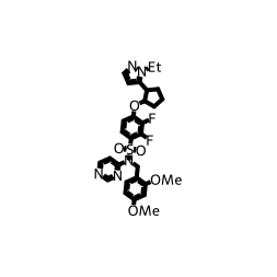 CCn1nccc1C1CCCC1Oc1ccc(S(=O)(=O)N(Cc2ccc(OC)cc2OC)c2ccncn2)c(F)c1F